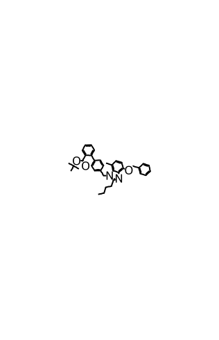 CCCCc1nc2c(OCc3ccccc3)ccc(C)c2n1Cc1ccc(-c2ccccc2C(=O)OC(C)(C)C)cc1